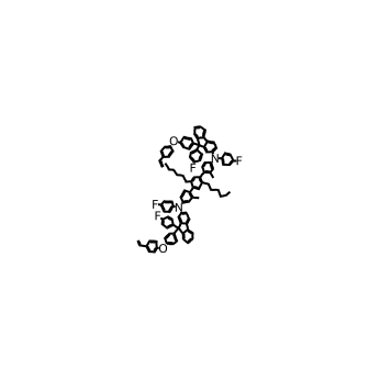 C=Cc1ccc(Oc2ccc(C3(c4ccc(F)cc4)c4ccccc4-c4ccc(N(c5ccc(F)cc5)c5ccc(-c6cc(CCCCCC)c(-c7ccc(N(c8ccc(F)cc8)c8ccc9c(c8)C(c8ccc(F)cc8)(c8ccc(Oc%10ccc(C=C)cc%10)cc8)c8ccccc8-9)cc7C)cc6CCCCCC)c(C)c5)cc43)cc2)cc1